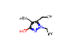 CCCCc1c(O)nn(CC(C)C)c1CC(C)C